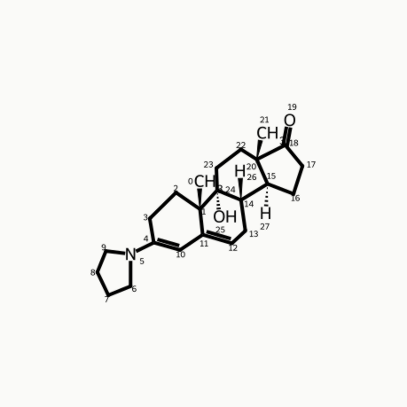 C[C@]12CCC(N3CCCC3)=CC1=CC[C@H]1[C@@H]3CCC(=O)[C@@]3(C)CC[C@@]12O